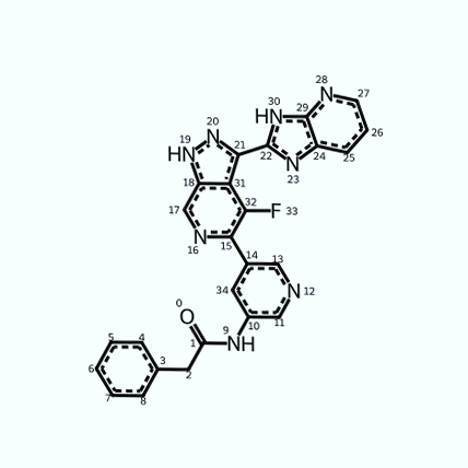 O=C(Cc1ccccc1)Nc1cncc(-c2ncc3[nH]nc(-c4nc5cccnc5[nH]4)c3c2F)c1